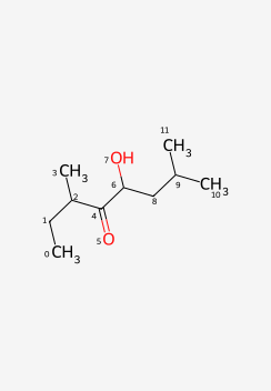 CCC(C)C(=O)C(O)CC(C)C